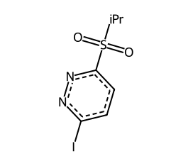 CC(C)S(=O)(=O)c1ccc(I)nn1